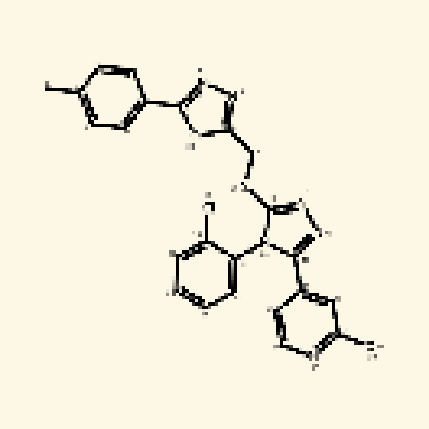 Cc1ccc(-c2nnc(CSc3nnc(-c4ccnc(O)c4)n3-c3ccccc3Cl)o2)cc1